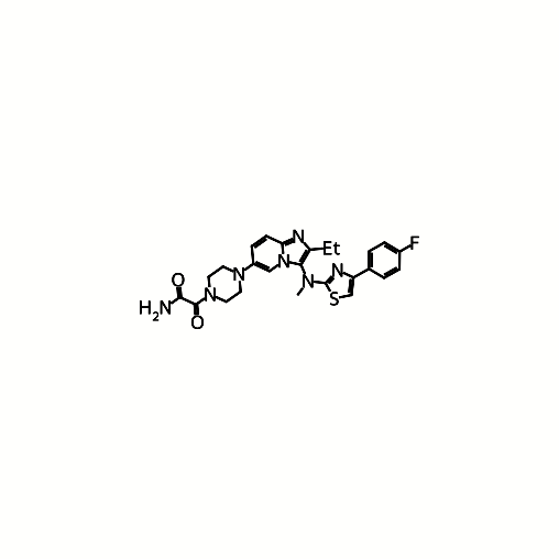 CCc1nc2ccc(N3CCN(C(=O)C(N)=O)CC3)cn2c1N(C)c1nc(-c2ccc(F)cc2)cs1